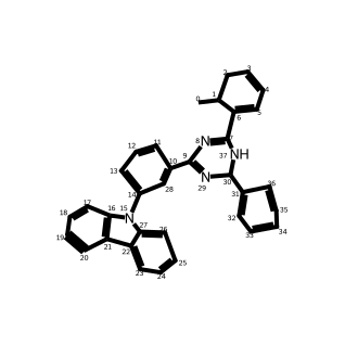 CC1CC=CC=C1C1=NC(c2cccc(-n3c4ccc#cc4c4ccccc43)c2)=NC(c2ccccc2)N1